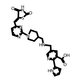 O=C1NC(=O)C(=Cc2ccnc(N3CCC(CNCc4cnc(-c5ccc[nH]5)c(C(=O)O)c4)CC3)n2)S1